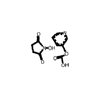 O=C(O)Oc1cccnc1.O=C1CCC(=O)N1O